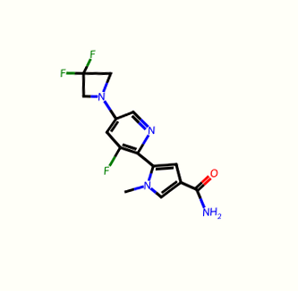 Cn1cc(C(N)=O)cc1-c1ncc(N2CC(F)(F)C2)cc1F